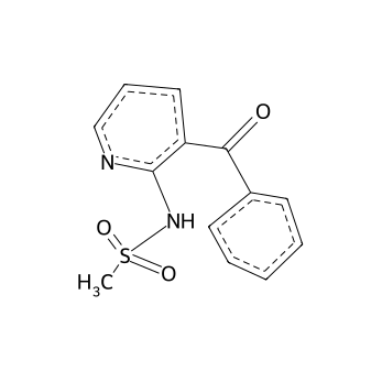 CS(=O)(=O)Nc1ncccc1C(=O)c1ccccc1